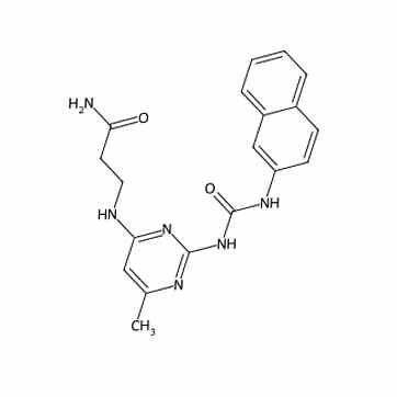 Cc1cc(NCCC(N)=O)nc(NC(=O)Nc2ccc3ccccc3c2)n1